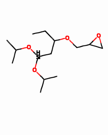 CCC(C[SiH](OC(C)C)OC(C)C)OCC1CO1